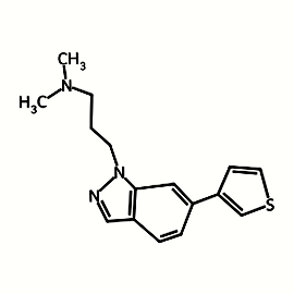 CN(C)CCCn1ncc2ccc(-c3ccsc3)cc21